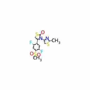 Cc1nc(-n2c(-c3cc(F)c(S(C)(=O)=O)cc3F)csc2=O)cs1